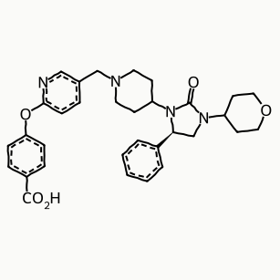 O=C(O)c1ccc(Oc2ccc(CN3CCC(N4C(=O)N(C5CCOCC5)C[C@H]4c4ccccc4)CC3)cn2)cc1